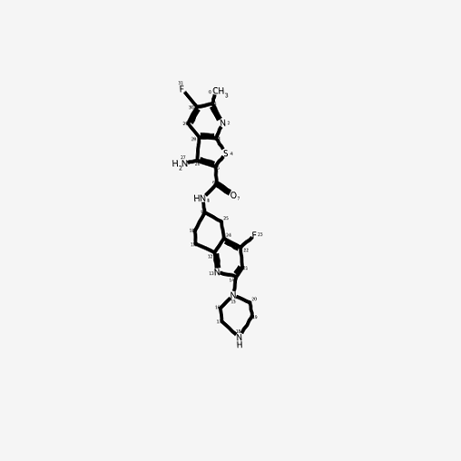 Cc1nc2sc(C(=O)NC3CCc4nc(N5CCNCC5)cc(F)c4C3)c(N)c2cc1F